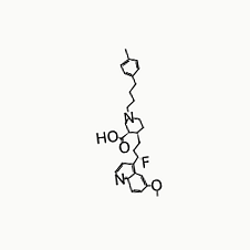 COc1ccc2nccc([C@@H](F)CC[C@@H]3CCN(CCCCc4ccc(C)cc4)C[C@@H]3C(=O)O)c2c1